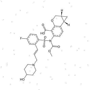 COC(=O)N(c1ccc2c(c1C(=O)O)OC[C@@H]1C[C@H]21)S(=O)(=O)c1ccc(F)cc1C=CCN1CCC(O)CC1